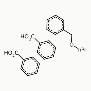 CCCOCc1ccccc1.O=C(O)c1ccccc1.O=C(O)c1ccccc1